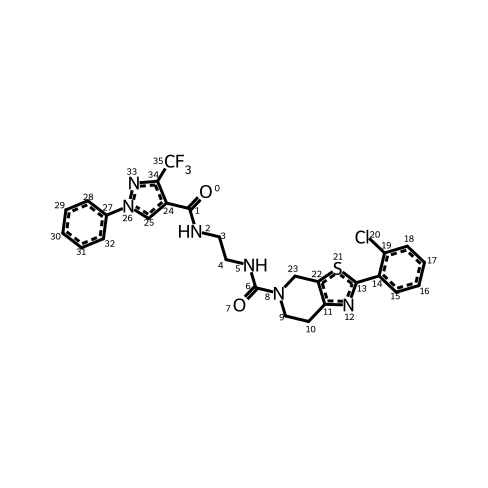 O=C(NCCNC(=O)N1CCc2nc(-c3ccccc3Cl)sc2C1)c1cn(-c2ccccc2)nc1C(F)(F)F